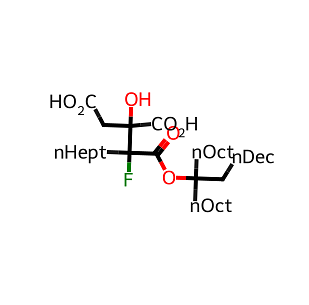 CCCCCCCCCCCC(CCCCCCCC)(CCCCCCCC)OC(=O)C(F)(CCCCCCC)C(O)(CC(=O)O)C(=O)O